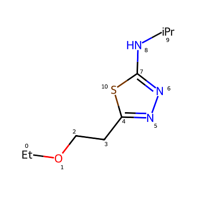 CCOCCc1nnc(NC(C)C)s1